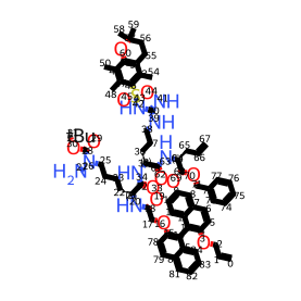 C=CCOc1ccc2ccccc2c1-c1c(OCC(=O)N[C@H](CCCCN(N)C(=O)OC(C)(C)C)C(=O)N[C@H](CCCNC(=N)NS(=O)(=O)c2c(C)c(C)c3c(c2C)CCC(C)(C)O3)C(=O)N[C@@H](CC=C)C(=O)OCc2ccccc2)ccc2ccccc12